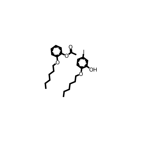 CCCCCCOc1ccc(I)cc1O.CCCCCCOc1ccccc1OC(C)=O